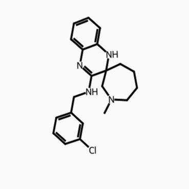 CN1CCCCC2(C1)Nc1ccccc1N=C2NCc1cccc(Cl)c1